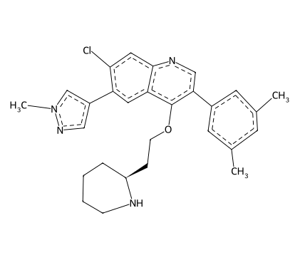 Cc1cc(C)cc(-c2cnc3cc(Cl)c(-c4cnn(C)c4)cc3c2OCC[C@@H]2CCCCN2)c1